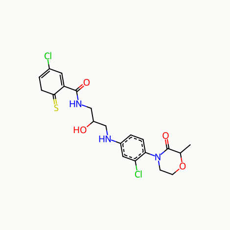 CC1OCCN(c2ccc(NCC(O)CNC(=O)C3=CC(Cl)=CCC3=S)cc2Cl)C1=O